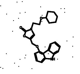 O=c1oc(COc2cccc3[nH]c4ccccc4c23)cn1CCOC1CCCCC1